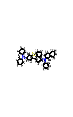 c1ccc(N(c2ccccc2)c2ccc3c(c2)Sc2cccc4c(N(c5ccccc5)c5ccc6ccccc6c5)ccc-3c24)cc1